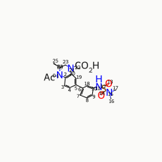 CC(=O)N1c2ccc(-c3cccc(NS(=O)(=O)N(C)C)c3)cc2N(C(=O)O)C[C@@H]1C